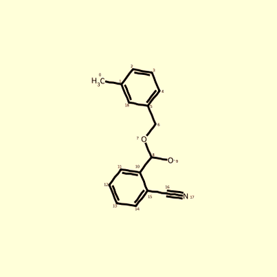 Cc1cccc(COC([O])c2ccccc2C#N)c1